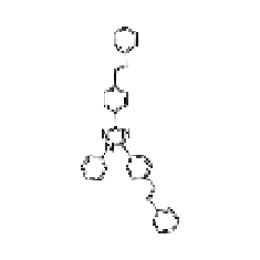 C(=Cc1ccc(-c2nc(-c3ccc(C=Cc4ccccc4)cc3)n(-c3ccccc3)n2)cc1)c1ccccc1